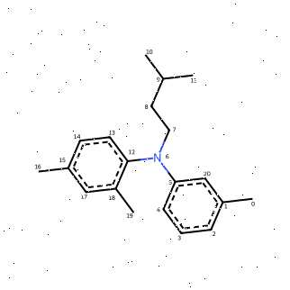 Cc1cccc(N(CCC(C)C)c2ccc(C)cc2C)c1